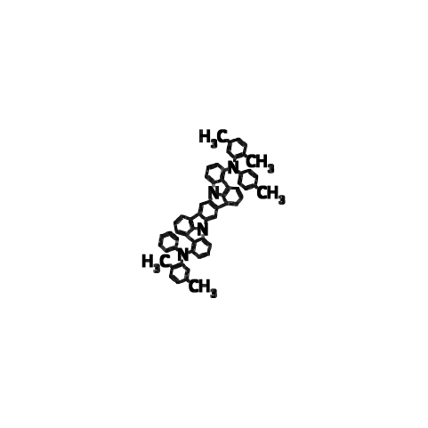 Cc1ccc(N(c2cc(C)ccc2C)c2cccc3c2c2cccc4c5cc6c(cc5n3c42)c2cccc3c4c(N(C5=CC=C=C=C5)c5cc(C)ccc5C)cccc4n6c23)cc1